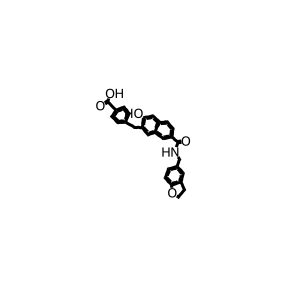 O=C(O)c1ccc(Cc2cc3cc(C(=O)NCc4ccc5c(c4)CCO5)ccc3cc2O)cc1